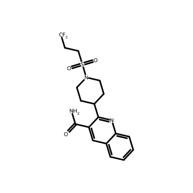 NC(=O)c1cc2ccccc2nc1C1CCN(S(=O)(=O)CCC(F)(F)F)CC1